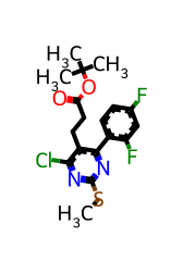 CSc1nc(Cl)c(CCC(=O)OC(C)(C)C)c(-c2ccc(F)cc2F)n1